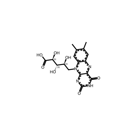 Cc1cc2nc3c(=O)[nH]c(=O)nc-3n(C[C@H](O)[C@H](O)[C@H](O)C(=O)O)c2cc1C